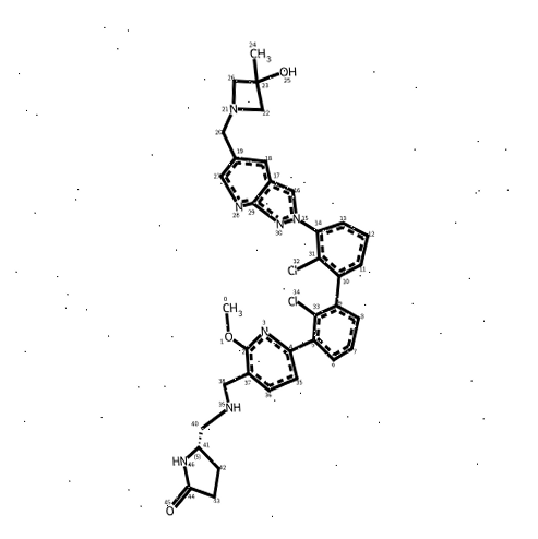 COc1nc(-c2cccc(-c3cccc(-n4cc5cc(CN6CC(C)(O)C6)cnc5n4)c3Cl)c2Cl)ccc1CNC[C@@H]1CCC(=O)N1